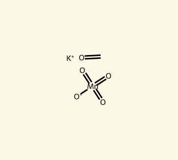 C=O.[K+].[O]=[Mn](=[O])(=[O])[O-]